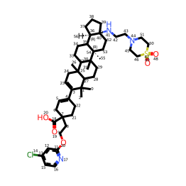 CC1(C)C(C2=CCC(CCOc3cc(Cl)ccn3)(C(=O)O)CC2)=CCC2(C)C1CCC1(C)C2CCC2[C@H]3CCC[C@]3(NCCN3CCS(=O)(=O)CC3)CC[C@]21C